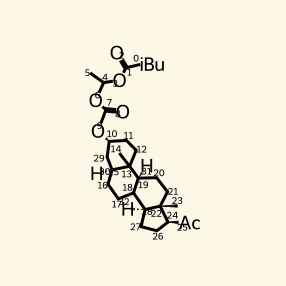 CCC(C)C(=O)OC(C)OC(=O)O[C@@H]1CCC2(C)[C@@H](CCC3[C@@H]2CC[C@]2(C)[C@@H](C(C)=O)CC[C@@H]32)C1